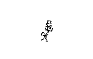 CCSc1nc(SC(=O)N(C)C)ns1